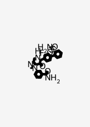 NC(=O)c1cccc(-n2cnc3c2C(=O)C(c2ccc(-c4ccccc4S(N)(=O)=O)cc2F)NC3)c1